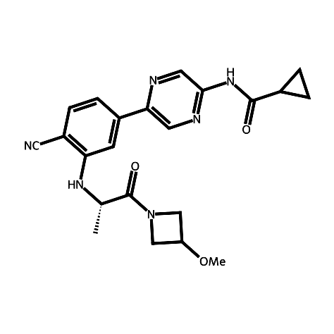 COC1CN(C(=O)[C@H](C)Nc2cc(-c3cnc(NC(=O)C4CC4)cn3)ccc2C#N)C1